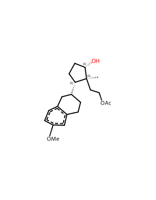 COc1ccc2c(c1)CCC([C@@H]1CC[C@H](O)[C@@]1(C)CCOC(C)=O)C2